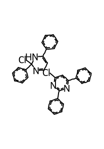 ClC1(c2ccccc2)N=CC=C(c2ccccc2)N1.Clc1cc(-c2ccccc2)nc(-c2ccccc2)n1